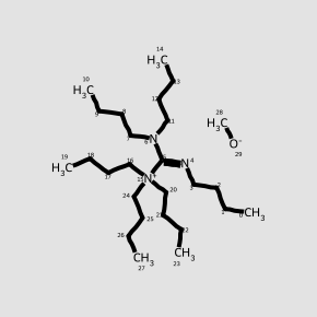 CCCCN=C(N(CCCC)CCCC)[N+](CCCC)(CCCC)CCCC.C[O-]